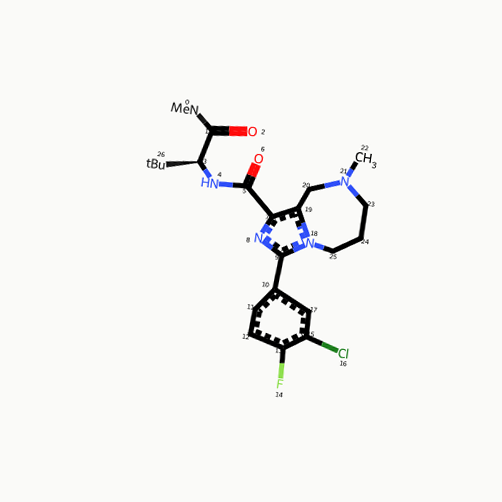 CNC(=O)[C@@H](NC(=O)c1nc(-c2ccc(F)c(Cl)c2)n2c1CN(C)CCC2)C(C)(C)C